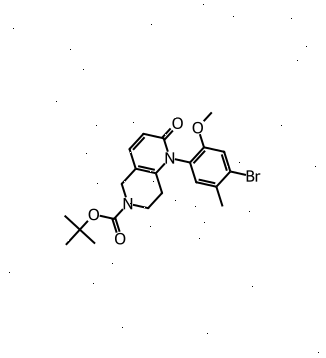 COc1cc(Br)c(C)cc1-n1c2c(ccc1=O)CN(C(=O)OC(C)(C)C)CC2